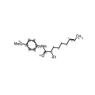 C/C=C/CCCCC(CC)C(=O)Nc1ccc(OC)cc1